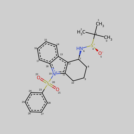 CC(C)(C)[S@@+]([O-])N[C@H]1CCCc2c1c1ccccc1n2S(=O)(=O)c1ccccc1